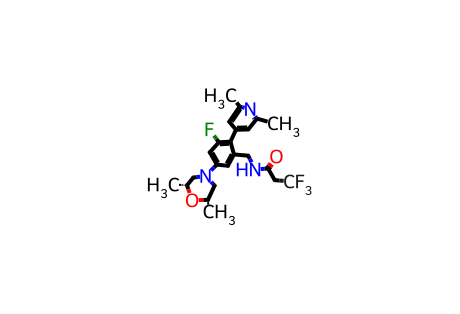 Cc1cc(-c2c(F)cc(N3C[C@@H](C)O[C@@H](C)C3)cc2CNC(=O)CC(F)(F)F)cc(C)n1